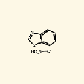 O=S(=O)(O)Cl.c1ccc2scnc2c1